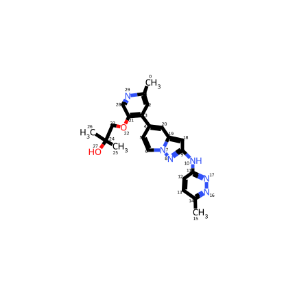 Cc1cc(-c2ccn3nc(Nc4ccc(C)nn4)cc3c2)c(OCC(C)(C)O)cn1